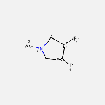 CC(=O)N1CC(C(C)C)C(C(C)C)C1